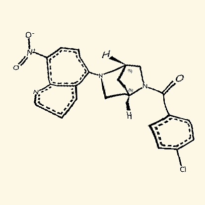 O=C(c1ccc(Cl)cc1)N1C[C@@H]2C[C@H]1CN2c1ccc([N+](=O)[O-])c2ncccc12